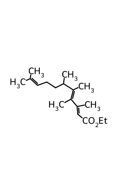 CCOC(=O)/C=C(C)/C(C)=C(\C)C(C)CCC=C(C)C